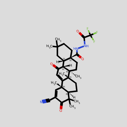 CC1(C)CC[C@]2(C(=O)NNC(=O)C(F)(F)F)CC[C@]3(C)[C@H](C(=O)C=C4[C@@]5(C)C=C(C#N)C(=O)C(C)(C)[C@@H]5CC[C@]43C)[C@@H]2C1